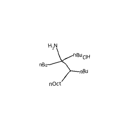 CCCCCCCCC(CCCC)C(N)(CCCC)CCCC.Cl